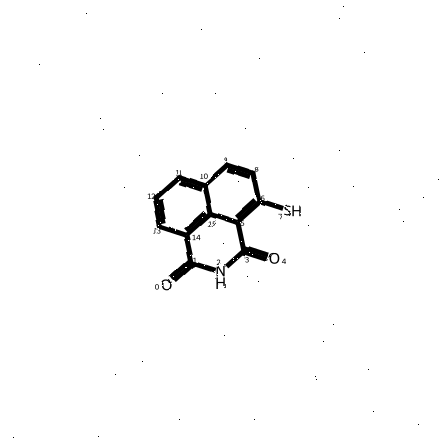 O=C1NC(=O)c2c(S)ccc3cccc1c23